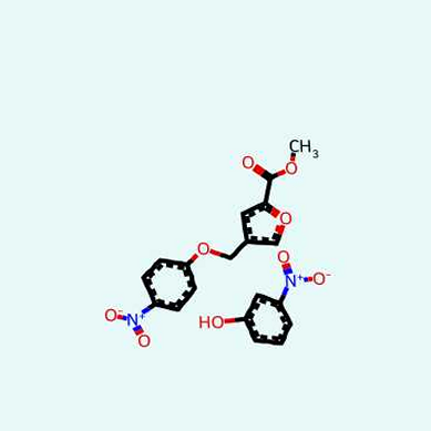 COC(=O)c1cc(COc2ccc([N+](=O)[O-])cc2)co1.O=[N+]([O-])c1cccc(O)c1